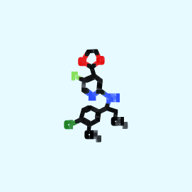 CCC(Nc1cc(C2OCCO2)c(F)cn1)c1ccc(Cl)c(C)c1